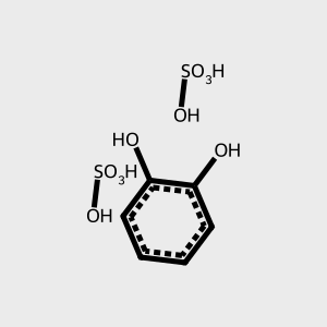 O=S(=O)(O)O.O=S(=O)(O)O.Oc1ccccc1O